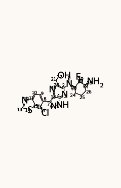 CN(c1nc2[nH]nc(-c3ccc4ncsc4c3Cl)c2nc1CO)[C@@H]1CCC[C@H](N)[C@@H]1F